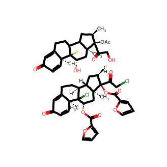 CC(=O)O[C@]1(C(=O)CO)[C@H](C)CC2C3CCC4=CC(=O)C=C[C@]4(C)[C@@]3(F)[C@@H](O)C[C@@]21C.C[C@@H]1C[C@H]2[C@@H]3CCC4=CC(=O)C=C[C@]4(C)C3(Cl)[C@@H](OC(=O)c3ccco3)C[C@]2(C)[C@@]1(OC(=O)c1ccco1)C(=O)CCl